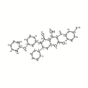 O=c1oc2cc(-c3ccccc3)n(-c3cccc(Oc4ncccn4)c3)c(=O)c2c(O)c1Sc1cccc(F)c1